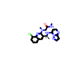 CNC(=O)CN(C)c1nc2c(Cl)cccc2cc1[C@H](C)Nc1ccnc2ccnn12